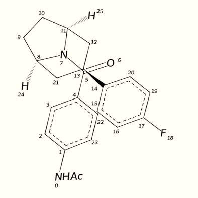 CC(=O)Nc1ccc(C(=O)N2[C@@H]3CC[C@H]2C[C@@H](c2ccc(F)cc2)C3)cc1